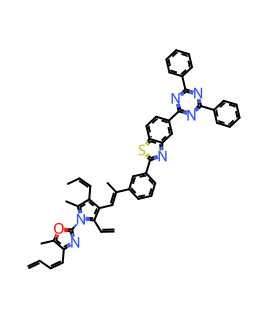 C=C/C=C\c1nc(-n2c(C)c(/C=C\C)c(/C=C(\C)c3cccc(-c4nc5cc(-c6nc(-c7ccccc7)nc(-c7ccccc7)n6)ccc5s4)c3)c2C=C)oc1C